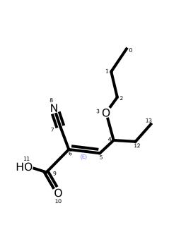 CCCOC(/C=C(\C#N)C(=O)O)CC